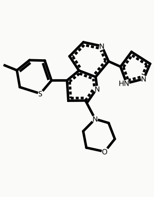 CC1=CC=C(c2cc(N3CCOCC3)nc3c(-c4ccn[nH]4)nccc23)SC1